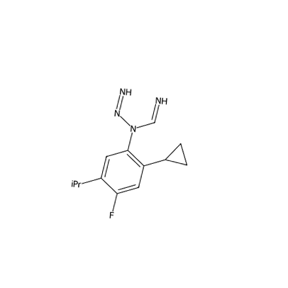 CC(C)c1cc(N(C=N)N=N)c(C2CC2)cc1F